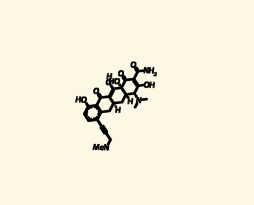 CNCC#Cc1ccc(O)c2c1C[C@@H]1C[C@H]3[C@H](N(C)C)C(O)=C(C(N)=O)C(=O)[C@@]3(O)C(O)=C1C2=O